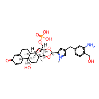 Cn1cc(Cc2ccc(CO)c(N)c2)cc1[C@@H]1O[C@@H]2C[C@H]3[C@@H]4CCC5=CC(=O)C=C[C@]5(C)[C@H]4[C@@H](O)C[C@]3(C)[C@]2(C(=O)COP(=O)(O)O)O1